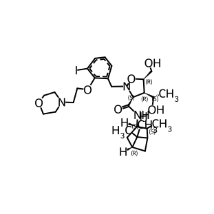 C[C@H](O)[C@@H]1[C@H](CO)ON(Cc2cccc(I)c2OCCN2CCOCC2)[C@@H]1C(=O)N[C@H]1C[C@H]2CC([C@@H]1C)C2(C)C